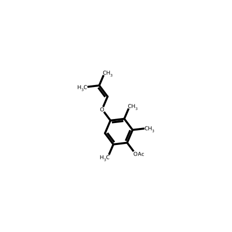 CC(=O)Oc1c(C)cc(OC=C(C)C)c(C)c1C